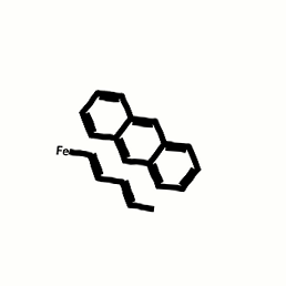 CC=CC=[CH][Fe].c1ccc2cc3ccccc3cc2c1